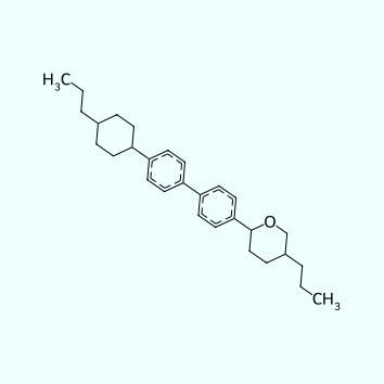 CCCC1CCC(c2ccc(-c3ccc(C4CCC(CCC)CO4)cc3)cc2)CC1